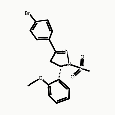 COc1ccccc1[C@@H]1CC(c2ccc(Br)cc2)=NN1S(C)(=O)=O